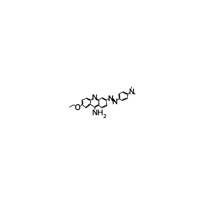 CCOc1ccc2nc3cc(N=Nc4ccc(N(C)C)cc4)ccc3c(N)c2c1